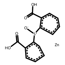 O=C(O)c1ccccc1[S+]([O-])c1ccccc1C(=O)O.[Zn]